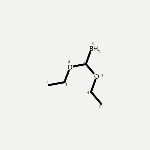 BC(OCC)OCC